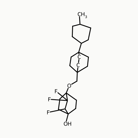 CC1CCC(C23CCC(COC45CCC(O)(CC4)C(F)C5(F)F)(CC2)CC3)CC1